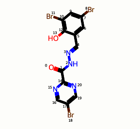 O=C(NN=Cc1cc(Br)cc(Br)c1O)c1ncc(Br)cn1